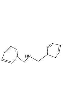 C1=CCC(CNCc2ccccc2)C=C1